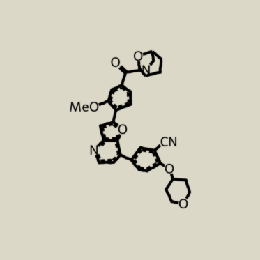 COc1cc(C(=O)N2CC3CCC2CO3)ccc1-c1cc2nccc(-c3ccc(OC4CCOCC4)c(C#N)c3)c2o1